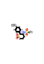 CC(C)S(=O)(=O)NC1CCCS(=O)(=O)C1c1ccc(C(C)(C)C)cc1